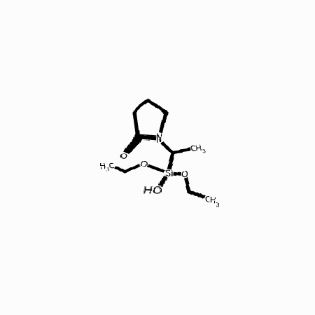 CCO[Si](O)(OCC)C(C)N1CCCC1=O